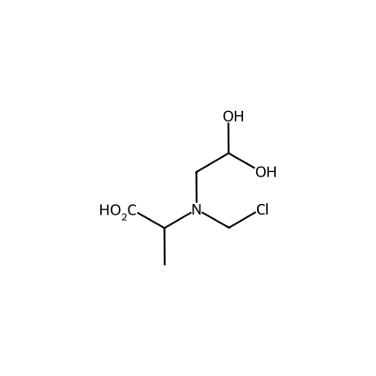 CC(C(=O)O)N(CCl)CC(O)O